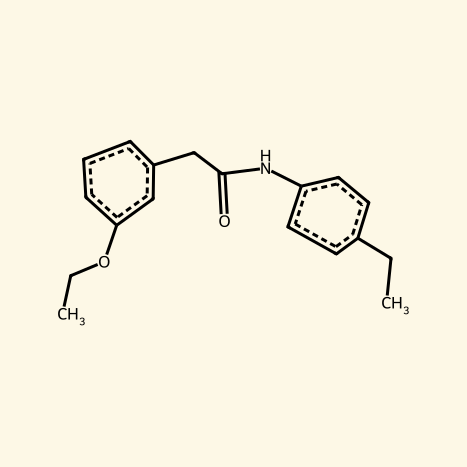 CCOc1cccc(CC(=O)Nc2ccc(CC)cc2)c1